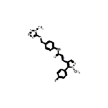 Cn1nnnc1SCc1ccc(NC(=O)/C=C/c2cnn(C)c2-c2ccc(F)cc2)cc1